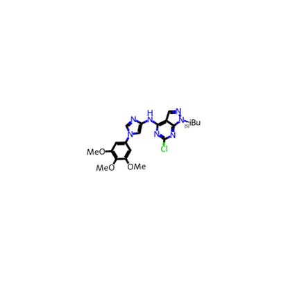 CC[C@H](C)n1ncc2c(Nc3cn(-c4cc(OC)c(OC)c(OC)c4)cn3)nc(Cl)nc21